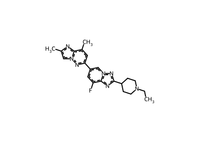 CCN1CCC(c2nc3c(F)cc(-c4cc(C)c5nc(C)cn5n4)cn3n2)CC1